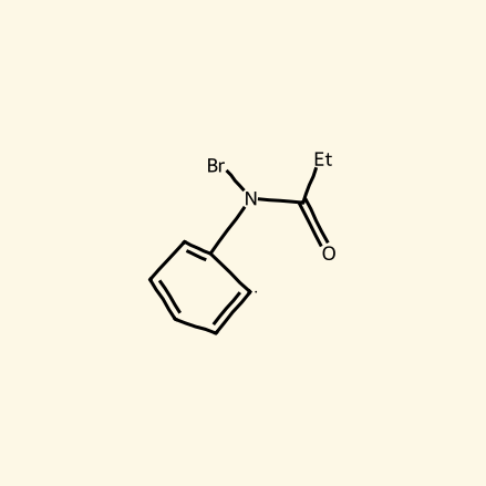 CCC(=O)N(Br)c1[c]cccc1